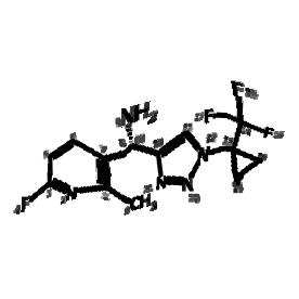 Cc1nc(F)ccc1[C@H](N)c1cn(C2(C(F)(F)F)CC2)nn1